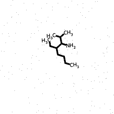 CCCCC(CC)C(N)C(C)C